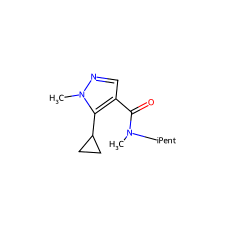 CCCC(C)N(C)C(=O)c1cnn(C)c1C1CC1